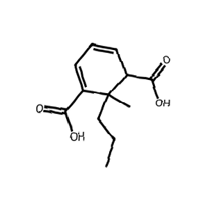 CCCC1(C)C(C(=O)O)=CC=CC1C(=O)O